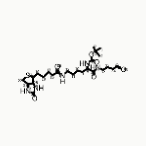 CC(C)(C)OC(=O)NC(CCCCNC(=O)CCCCC1SCC2NC(=O)NC21)C(=O)NCCCC=O